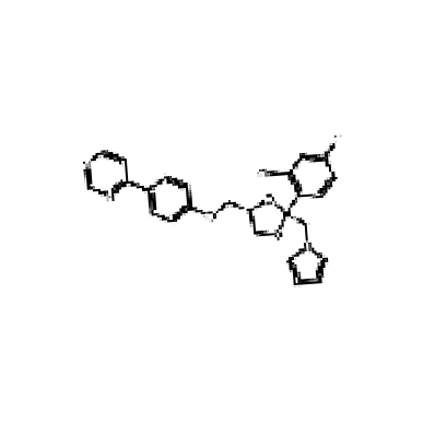 Clc1ccc([C@]2(Cn3ccnc3)OC[C@@H](COc3ccc(-c4ccncn4)cc3)O2)c(Cl)c1